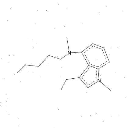 CCCCCN(C)c1cccc2c1c(CC)cn2C